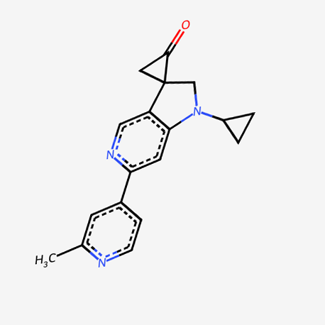 Cc1cc(-c2cc3c(cn2)C2(CC2=O)CN3C2CC2)ccn1